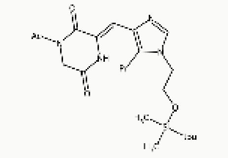 CC(=O)N1CC(=O)NC(=Cc2ncn(CCO[Si](C)(C)C(C)(C)C)c2C(C)C)C1=O